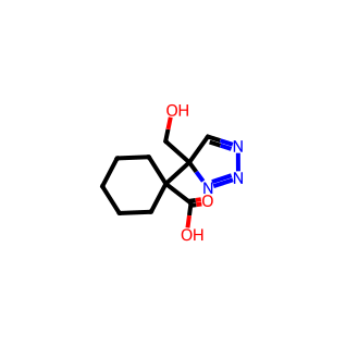 O=C(O)C1(C2(CO)C=NN=N2)CCCCC1